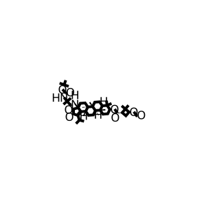 CC(C)C1=C2[C@H]3CC[C@@H]4[C@@]5(C)CC[C@H](OC(=O)[C@H]6C[C@@H](OC=O)C6(C)C)C(C)(C)[C@@H]5CC[C@@]4(C)[C@]3(C)CC[C@@]2(NC(=O)C(C)(C)NC(=O)OC(C)(C)C)CC1=O